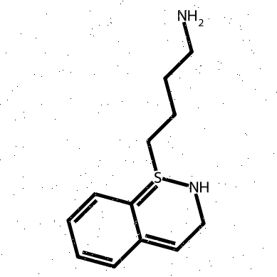 NCCCCS1=c2ccccc2=CCN1